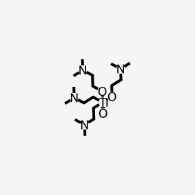 CN(C)CC[O][Ti](=[O])([CH2]CN(C)C)([CH2]CN(C)C)[O]CCN(C)C